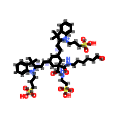 CC1(C)C(/C=C/C2=CC(=C/C=C3/N(CCCS(=O)(=O)O)c4ccccc4C3(C)C)/CC(C(=O)NCCCCCC=O)(C(=O)NCCS(=O)(=O)O)C2)=[N+](CCCS(=O)(=O)O)c2ccccc21